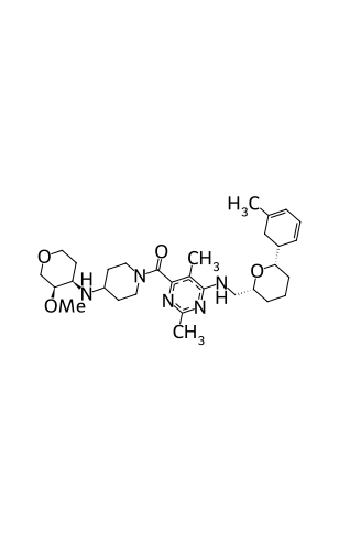 CO[C@H]1COCC[C@H]1NC1CCN(C(=O)c2nc(C)nc(NC[C@H]3CCC[C@@H](C4C=CC=C(C)C4)O3)c2C)CC1